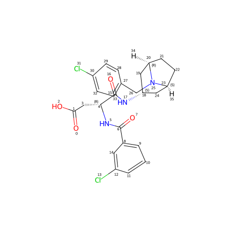 O=C(O)C[C@@H](NC(=O)c1cccc(Cl)c1)C(=O)N[C@@H]1C[C@H]2CC[C@@H](C1)N2Cc1ccc(Cl)cc1